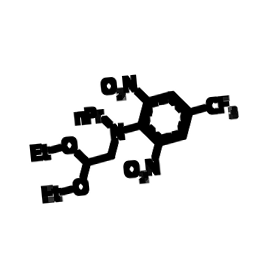 CCCN(CC(OCC)OCC)c1c([N+](=O)[O-])cc(C(F)(F)F)cc1[N+](=O)[O-]